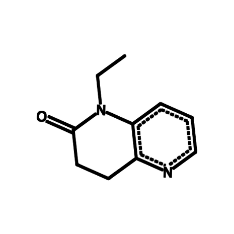 CCN1C(=O)CCc2ncccc21